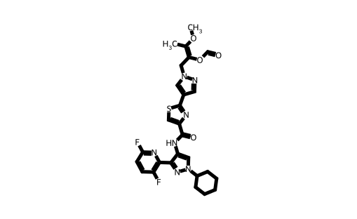 CO/C(C)=C(/Cn1cc(-c2nc(C(=O)Nc3cn(C4CCCCC4)nc3-c3nc(F)ccc3F)cs2)cn1)OC=O